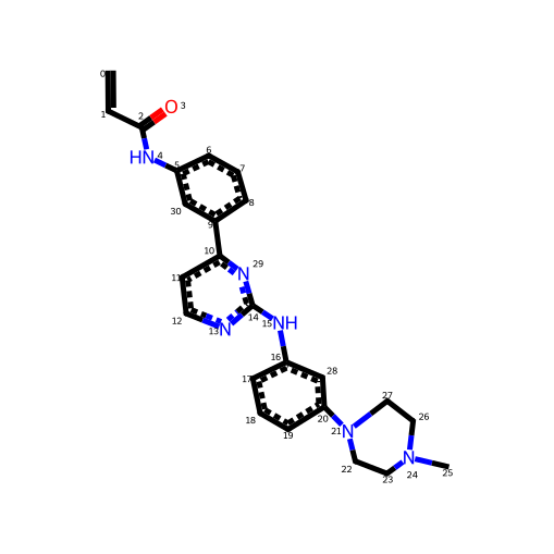 C=CC(=O)Nc1cccc(-c2ccnc(Nc3cccc(N4CCN(C)CC4)c3)n2)c1